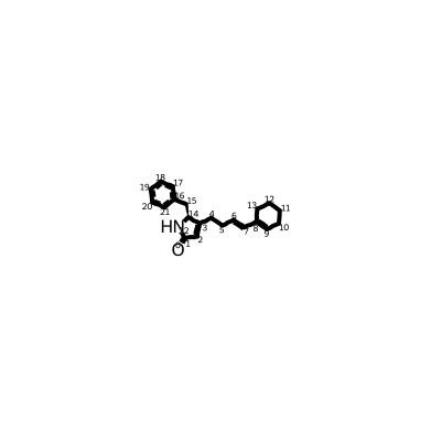 O=C1C=C(CC/C=C/C2=CCCCC2)[C@H](Cc2ccccc2)N1